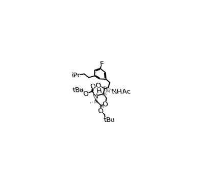 CC(=O)N[C@@H](Cc1cc(F)cc(CCC(C)C)c1)[C@H](O)[C@H]1CO[C@@H](OCC(C)(C)C)[C@H](C)N1C(=O)OC(C)(C)C